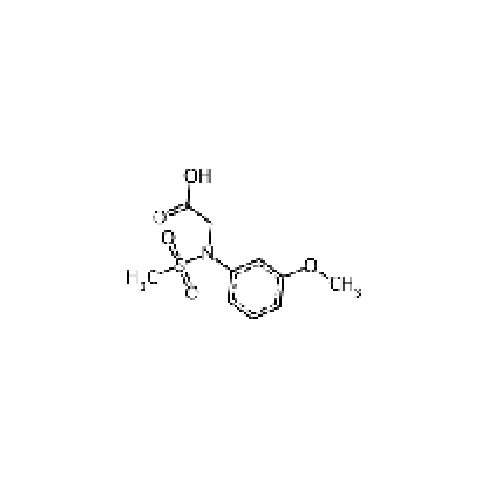 COc1cccc(N(CC(=O)O)S(C)(=O)=O)c1